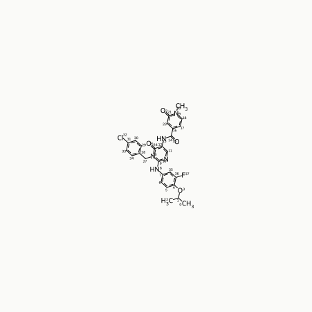 CC(C)Oc1ccc(Nc2ncc(NC(=O)c3ccn(C)c(=O)c3)c(=O)n2Cc2ccc(Cl)cc2)cc1F